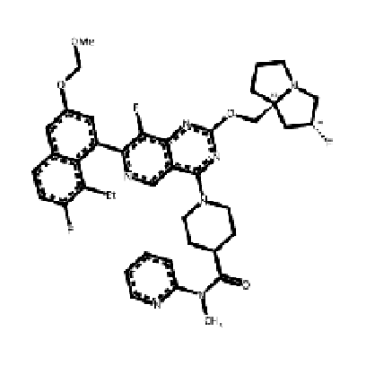 CCc1c(F)ccc2cc(OCOC)cc(-c3ncc4c(N5CCC(C(=O)N(C)c6ccccn6)CC5)nc(OC[C@@]56CCCN5C[C@H](F)C6)nc4c3F)c12